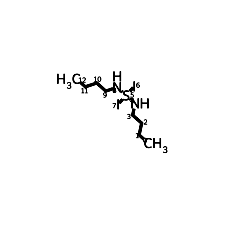 CCCCNS(I)(I)NCCCC